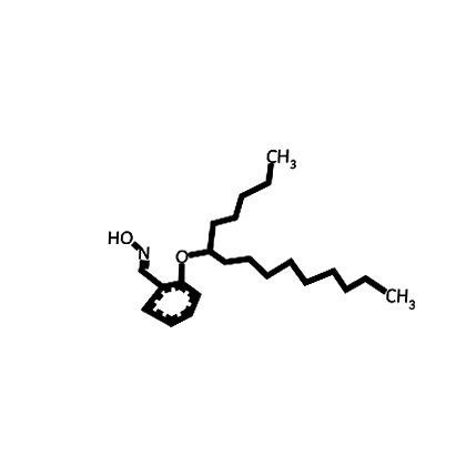 CCCCCCCCCC(CCCCC)Oc1ccccc1C=NO